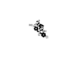 CN(C)CC(=O)Nc1cc(CN2C(=O)c3ccc(Cl)cc3NC(=O)[C@H]2Cc2ccccn2)ccc1C(=O)O